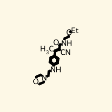 CCOCCNC(=O)/C(C#N)=C(\C)c1ccc(NCCN2CCOCC2)cc1